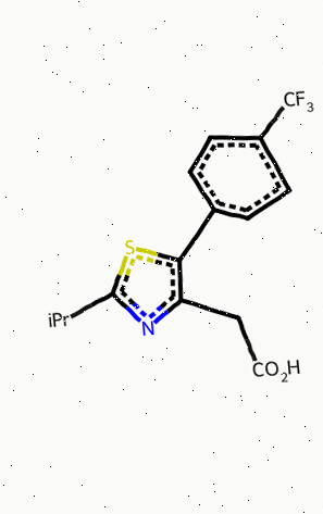 CC(C)c1nc(CC(=O)O)c(-c2ccc(C(F)(F)F)cc2)s1